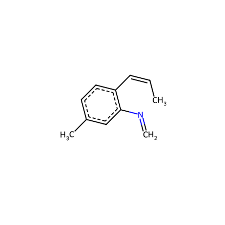 C=Nc1cc(C)ccc1/C=C\C